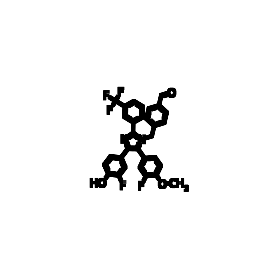 COc1ccc(-c2c(-c3ccc(O)c(F)c3)nc(-c3cccc(C(F)(F)F)c3)n2Cc2ccc(C=O)cc2)cc1F